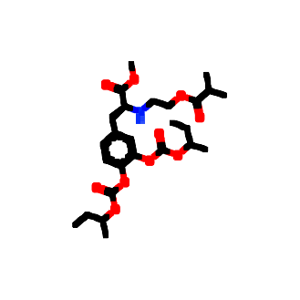 CCC(C)OC(=O)Oc1ccc(C[C@H](NCCOC(=O)C(C)C)C(=O)OC)cc1OC(=O)OC(C)CC